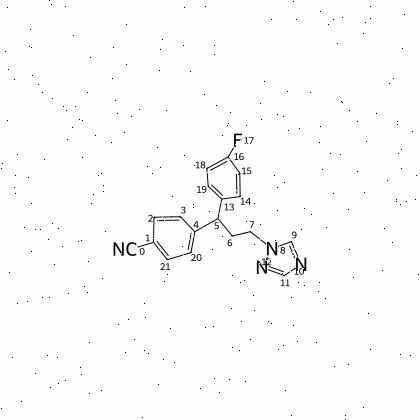 N#Cc1ccc(C(CCn2cncn2)c2ccc(F)cc2)cc1